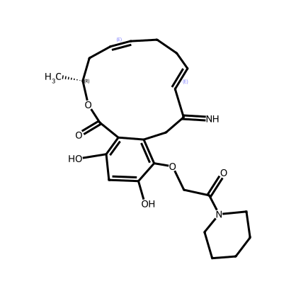 C[C@@H]1C/C=C/CC/C=C/C(=N)Cc2c(OCC(=O)N3CCCCC3)c(O)cc(O)c2C(=O)O1